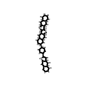 c1ccc2cc3sc(-c4ccc(-c5ccc6cc7c(cc6c5)sc5c6cc8ccccc8cc6sc75)cc4)cc3cc2c1